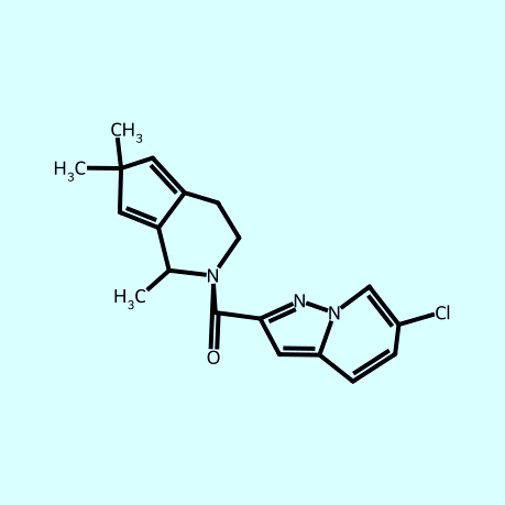 CC1C2=CC(C)(C)C=C2CCN1C(=O)c1cc2ccc(Cl)cn2n1